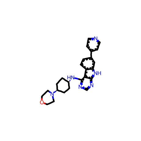 c1cc(-c2ccc3c(c2)[nH]c2ncnc(N[C@H]4CC[C@H](N5CCOCC5)CC4)c23)ccn1